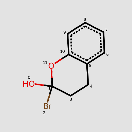 OC1(Br)CCc2ccccc2O1